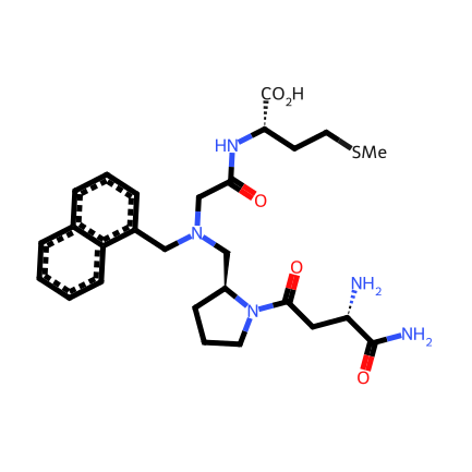 CSCC[C@H](NC(=O)CN(Cc1cccc2ccccc12)C[C@@H]1CCCN1C(=O)C[C@H](N)C(N)=O)C(=O)O